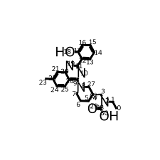 CCN(C[C@H]1CCCN(c2nc(-c3ccccc3O)nc3cc(C)ccc23)C1)C(=O)O